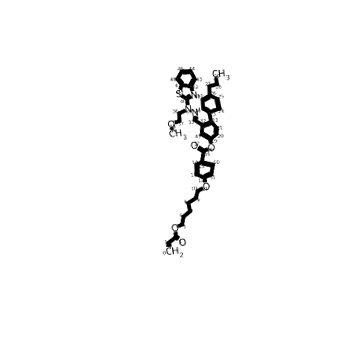 C=CC(=O)OCCCCCCOc1ccc(C(=O)Oc2ccc(-c3ccc(CCC)cc3)c(/C=N/N(CCOC)c3nc4ccccc4s3)c2)cc1